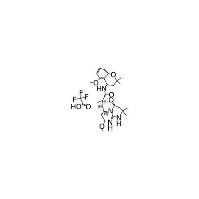 COCC[C@@H]([C@@H]1C[C@H]1C(=O)NC1CC(C)(C)Oc2cccc(OC)c21)N1C(=N)NC(C)(C)CC1=O.O=C(O)C(F)(F)F